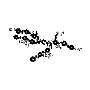 Cc1cc(Cc2nc(Cc3ccc(N=Nc4ccc(N=Nc5ccccc5)cc4S(=O)(=O)O)c(C)c3)nc(N3CCN(c4nc(Nc5ccc(N=Nc6ccc(N=Nc7ccccc7)cc6S(=O)(=O)O)c(C)c5)nc(Nc5cc(C)c(N=Nc6ccc(N=Nc7ccc(S(=O)(=O)O)cc7)cc6)cc5OCCCS(=O)(=O)O)n4)CC3)n2)ccc1N=Nc1ccc(N=Nc2ccc(S(=O)(=O)O)cc2)cc1